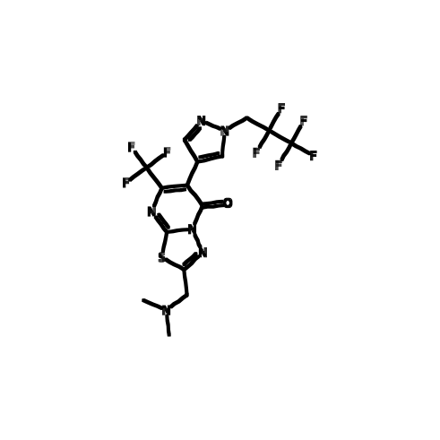 CN(C)Cc1nn2c(=O)c(-c3cnn(CC(F)(F)C(F)(F)F)c3)c(C(F)(F)F)nc2s1